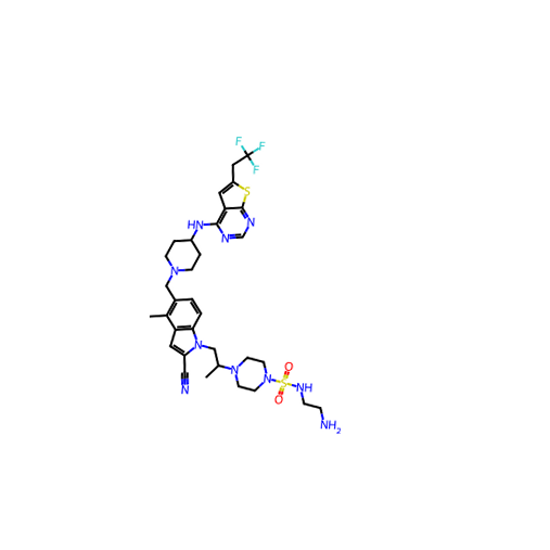 Cc1c(CN2CCC(Nc3ncnc4sc(CC(F)(F)F)cc34)CC2)ccc2c1cc(C#N)n2CC(C)N1CCN(S(=O)(=O)NCCN)CC1